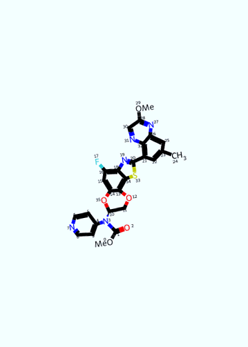 COC(=O)N(c1ccncc1)[C@H]1COc2c(cc(F)c3nc(-c4cc(C)cc5nc(OC)cnc45)sc23)O1